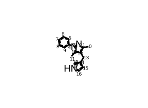 Cc1nn(-c2ccccc2)c(C)c1Cc1cc[nH]c1